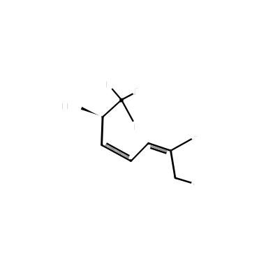 CC/C(F)=C\C=C/[C@@H](C)C(F)(F)F